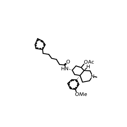 COc1cccc([C@@]23CCN(C)C[C@H]2C(OC(C)=O)C[C@@H](NC(=O)CCCCCc2ccccc2)C3)c1